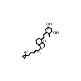 C=C1/C(=C\C=C2/CCC[C@]3(C)[C@@H]([C@H](C)/C=C/CCC4(C(C)=O)CC4)CC[C@@H]23)C[C@@H](O)C[C@@H]1O